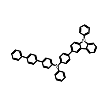 c1ccc(-c2ccc(-c3ccc(N(c4ccccc4)c4ccc(-c5ccc6c(c5)c5ccccc5n6-c5ccccc5)cc4)cc3)cc2)cc1